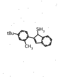 Cc1cc(C(C)(C)C)ccc1C1=Cc2ccccc2C1[SiH3]